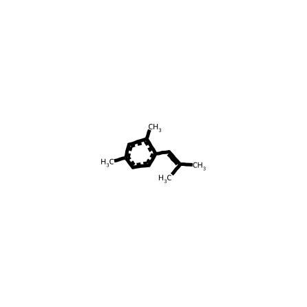 CC(C)=Cc1ccc(C)cc1C